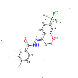 Cc1ccc(C(=O)NN=C2CCOc3cc(C(F)(F)F)ccc32)cc1